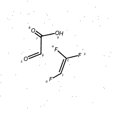 FC=C(F)F.O=CC(=O)O